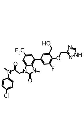 CN(C(=O)Cn1c(=O)n(C)c2c(-c3cc(F)c(OCc4nc[nH]n4)c(CO)c3)cc(C(F)(F)F)cc21)c1ccc(Cl)cc1